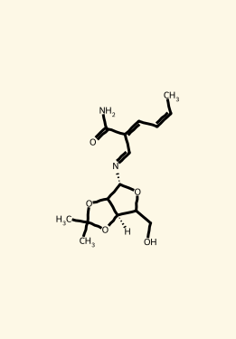 C\C=C/C=C(\C=N\[C@@H]1OC(CO)[C@H]2OC(C)(C)OC21)C(N)=O